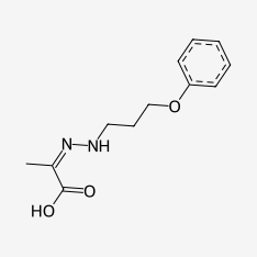 CC(=NNCCCOc1ccccc1)C(=O)O